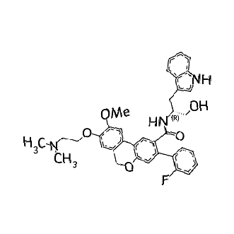 COc1cc2c(cc1OCCN(C)C)COc1cc(-c3ccccc3F)c(C(=O)N[C@@H](CO)Cc3c[nH]c4ccccc34)cc1-2